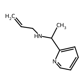 C=CCNC(C)c1ccccn1